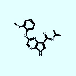 COc1ccccc1Oc1cnc2[nH]cc(C(=O)NC(C)C)c2n1